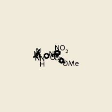 COc1ccc(Oc2ccc([N+](=O)[O-])cc2C(=O)N[C@H]2CC[C@@H](Nc3cc(N(C)C)nc(C)n3)CC2)cc1